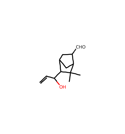 C=CC(O)C1C2CC(C=O)C(C2)C1(C)C